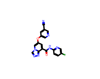 N#Cc1cncc(Oc2cc(C(=O)Nc3ccc(F)cn3)c3nncn3c2)c1